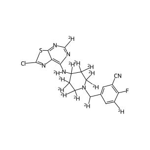 [2H]c1nc(N([2H])C2([2H])C([2H])([2H])C([2H])([2H])N(C([2H])c3cc([2H])c(F)c(C#N)c3)C([2H])([2H])C2([2H])[2H])c2nc(Cl)sc2n1